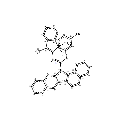 CC1(C)C(/N=C(\Cc2cccc(C#N)c2)n2c3cc4ccccc4cc3c3ccc4ccccc4c32)=C(N)c2ccccc21